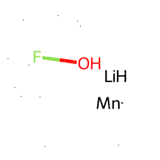 OF.[LiH].[Mn]